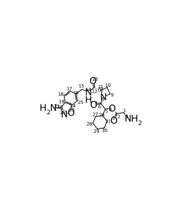 NCC(=O)OC(C(=O)N1CC[C@H]1C(=O)NCc1ccc2c(N)noc2c1)C1CCCCC1